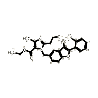 CCCc1nc(C)c(C(=O)OCC)n1Cc1ccc2oc(-c3ccccc3N)c(Br)c2c1